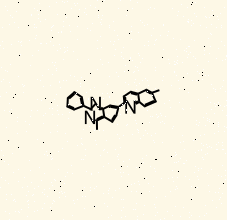 Cc1ccc2nc(-c3ccc4c(C)nc(-c5ccccc5)nc4c3)ccc2c1